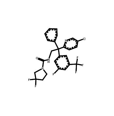 O=C(NCC(c1ccccc1)(c1cc(F)cc(C(F)(F)F)c1)c1ccc(Cl)cn1)N1CCC(F)(F)C1